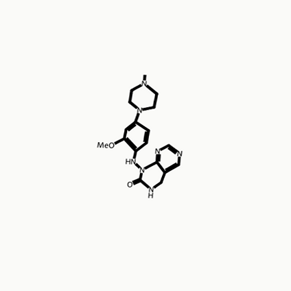 COc1cc(N2CCN(C)CC2)ccc1NN1C(=O)NCc2cncnc21